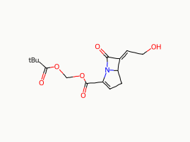 CC(C)(C)C(=O)OCOC(=O)C1=CCC2/C(=C\CO)C(=O)N12